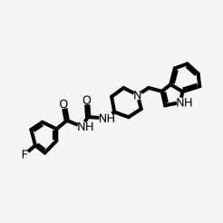 O=C(NC(=O)c1ccc(F)cc1)NC1CCN(Cc2c[nH]c3ccccc23)CC1